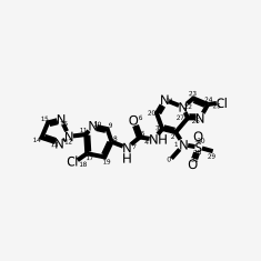 CN(c1c(NC(=O)Nc2cnc(-n3nccn3)c(Cl)c2)cnn2cc(Cl)nc12)S(C)(=O)=O